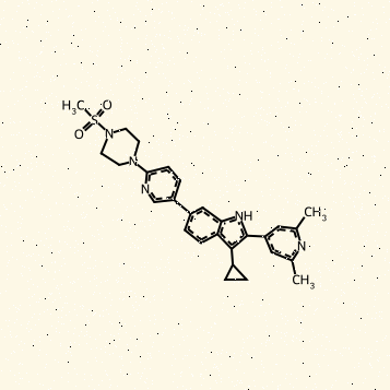 Cc1cc(-c2[nH]c3cc(-c4ccc(N5CCN(S(C)(=O)=O)CC5)nc4)ccc3c2C2CC2)cc(C)n1